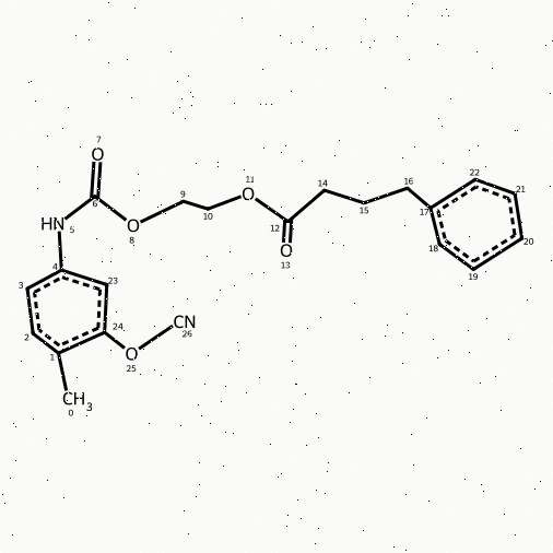 Cc1ccc(NC(=O)OCCOC(=O)CCCc2ccccc2)cc1OC#N